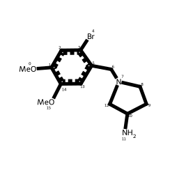 COc1cc(Br)c(CN2CCC(N)C2)cc1OC